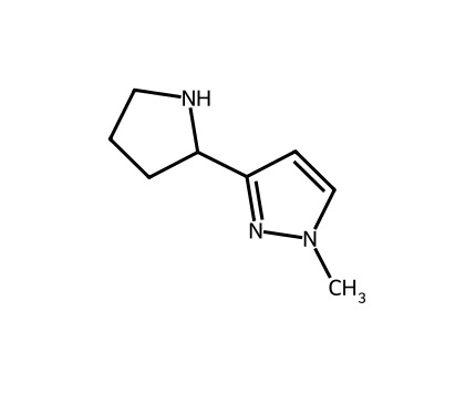 Cn1ccc(C2CCCN2)n1